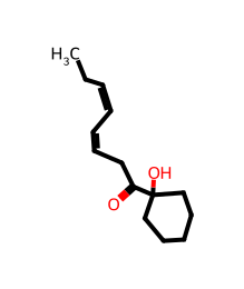 CC/C=C\C=C/CC(=O)C1(O)CCCCC1